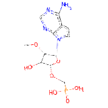 CO[C@H]1C(O)[C@@H](OCP(=O)(O)O)O[C@H]1n1ccc2c(N)ncnc21